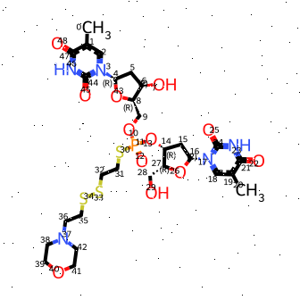 Cc1cn([C@H]2C[C@@H](O)[C@@H](COP(=O)(O[C@@H]3C[C@H](n4cc(C)c(=O)[nH]c4=O)O[C@@H]3CO)SCCSSCCN3CCOCC3)O2)c(=O)[nH]c1=O